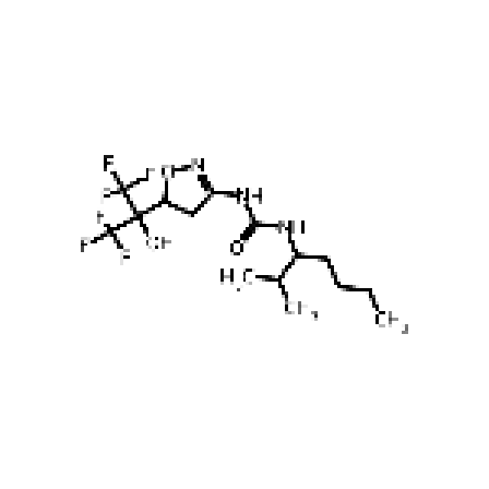 CCCCC(NC(=O)NC1=NOC(C(O)(C(F)(F)F)C(F)(F)F)C1)C(C)C